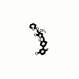 C[C@@]1(COC2CCCCO2)CC(Cc2ccc(-c3cc(Cl)ccc3F)cc2)NC1=O